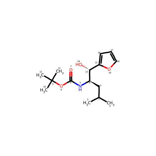 CC(C)C[C@@H](NC(=O)OC(C)(C)C)[C@H](O)c1ccco1